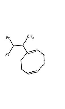 CC[CH]([Pt])C(C)C1=CCCC=CCC1